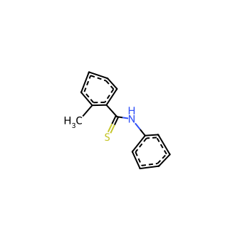 Cc1ccccc1C(=S)Nc1ccccc1